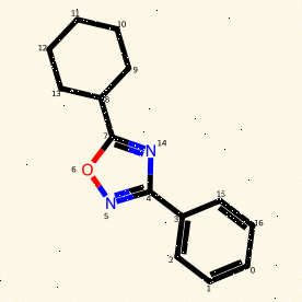 c1ccc(-c2noc(C3CCCCC3)n2)cc1